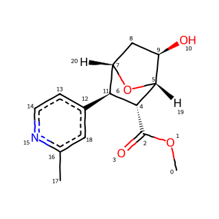 COC(=O)[C@H]1[C@@H]2O[C@@H](C[C@H]2O)[C@@H]1c1ccnc(C)c1